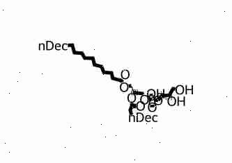 CCCCCCCCCCCCCCCCCCCCC(=O)OC[C@H](COP(=O)(O)OC[C@@H](O)CO)OC(=O)CCCCCCCCCCC